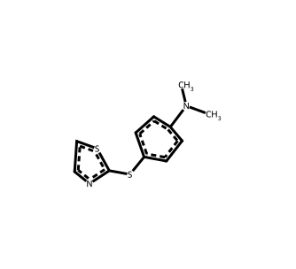 CN(C)c1ccc(Sc2nccs2)cc1